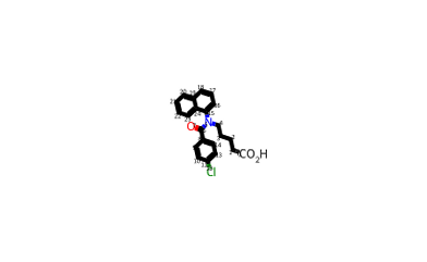 O=C(O)CCCCN(C(=O)c1ccc(Cl)cc1)c1cccc2ccccc12